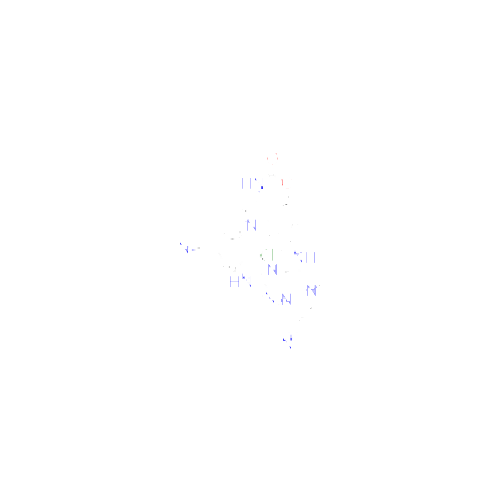 COC(=O)N[C@@H]1CN(c2cc(C#N)cc(Nc3nc(NC4CC4)c4ncc(C#N)n4n3)c2Cl)C[C@@H]1C